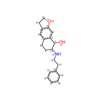 OC1c2cc3c(cc2CCC1NCCc1ccccc1)CCO3